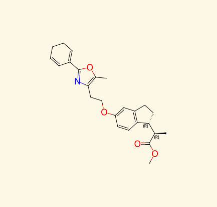 COC(=O)[C@H](C)[C@H]1CCc2cc(OCCc3nc(C4=CCCC=C4)oc3C)ccc21